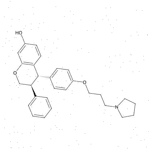 Oc1ccc2c(c1)OC[C@H](c1ccccc1)[C@H]2c1ccc(OCCCN2CCCC2)cc1